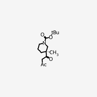 CC(=O)CC(=O)[C@@]1(C)CCCN(C(=O)OC(C)(C)C)C1